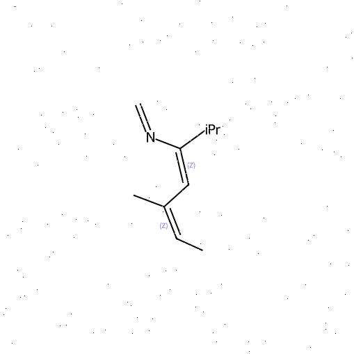 C=N/C(=C\C(C)=C/C)C(C)C